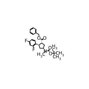 CN(C(=O)OC(C)(C)C)[C@@H]1C[C@@H](C(=O)OCc2ccccc2)[C@H](c2ccc(F)cc2F)C1